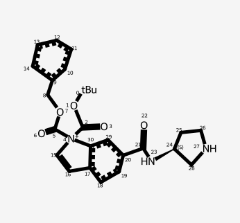 CC(C)(C)OC(=O)[N+]1(C(=O)OCc2ccccc2)C=Cc2ccc(C(=O)N[C@H]3CCNC3)cc21